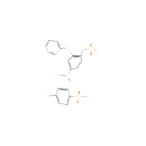 CS(=O)(=O)Nc1ccc([N+](=O)[O-])cc1Oc1ccccc1.Nc1ccc(S(N)(=O)=O)cc1